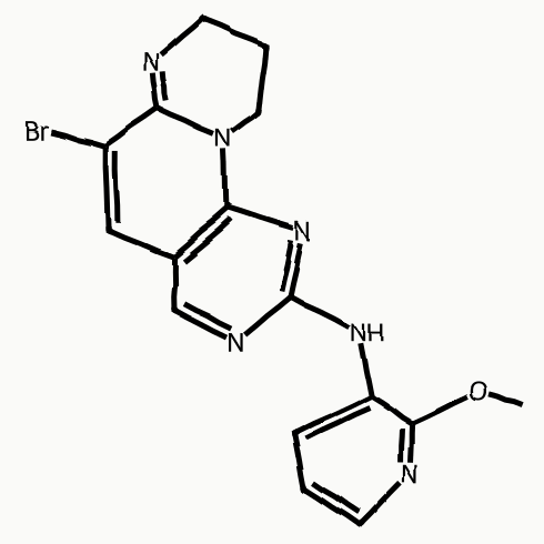 COc1ncccc1Nc1ncc2c(n1)N1CCCN=C1C(Br)=C2